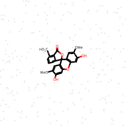 COc1cc2c(cc1O)Oc1cc(O)c(OC)cc1C21OC(=O)c2c(C(=O)O)cccc21